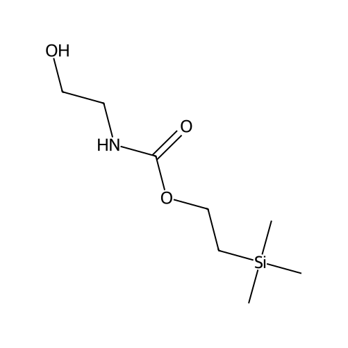 C[Si](C)(C)CCOC(=O)NCCO